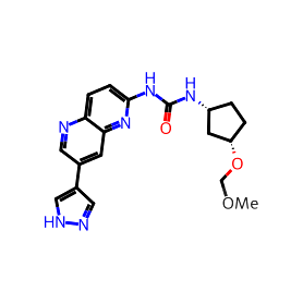 COCO[C@H]1CC[C@@H](NC(=O)Nc2ccc3ncc(-c4cn[nH]c4)cc3n2)C1